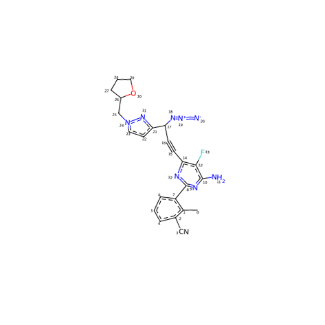 Cc1c(C#N)cccc1-c1nc(N)c(F)c(C#CC(N=[N+]=[N-])c2ccn(CC3CCCO3)n2)n1